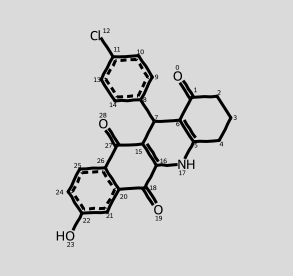 O=C1CCCC2=C1C(c1ccc(Cl)cc1)C1=C(N2)C(=O)c2cc(O)ccc2C1=O